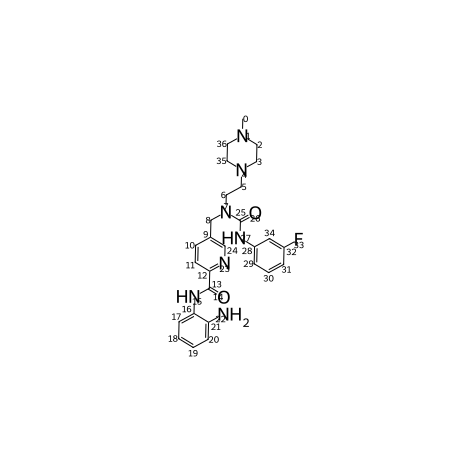 CN1CCN(CCN(Cc2ccc(C(=O)Nc3ccccc3N)nc2)C(=O)Nc2cccc(F)c2)CC1